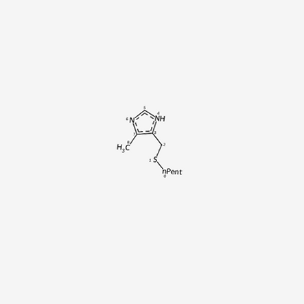 CCCCCSCc1[nH]cnc1C